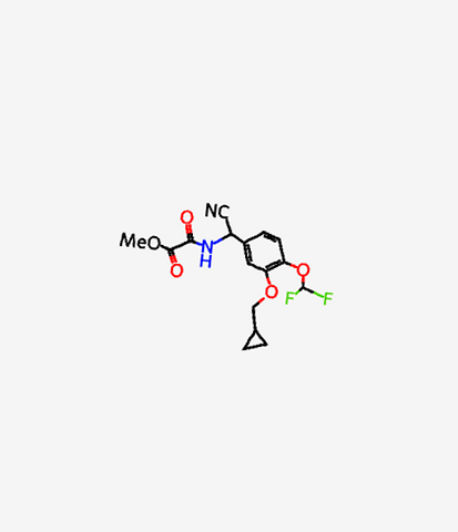 COC(=O)C(=O)NC(C#N)c1ccc(OC(F)F)c(OCC2CC2)c1